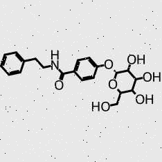 O=C(NCCc1ccccc1)c1ccc(O[C@H]2OC(CO)C(O)C(O)C2O)cc1